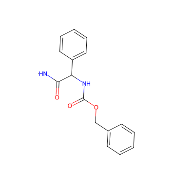 [NH]C(=O)C(NC(=O)OCc1ccccc1)c1ccccc1